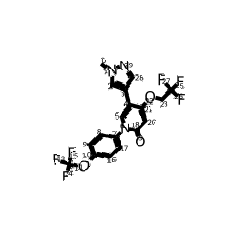 Cn1cc(-c2cn(-c3ccc(OC(F)(F)F)cc3)c(=O)cc2OCC(F)(F)F)cn1